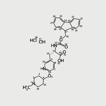 CN1CCC(Oc2ccc(C[C@H](NC(=O)OCC3c4ccccc4-c4ccccc43)C(=O)O)cn2)CC1.Cl.Cl